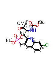 CCOP(=O)(Cc1cc2ccc(Cl)cc2nc1C[C@@H](NC(=O)OC(C)(C)C)C(=O)OC)OCC